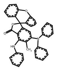 Cc1c(N(c2ccccc2)c2ccccc2)cc2c(c1Nc1ccccc1)C(=O)OC21c2ccccc2Oc2ccccc21